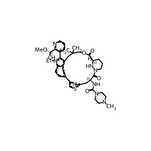 CCn1c(-c2cccnc2[C@H](C)OC)c2c3cc(ccc31)-c1csc(n1)C[C@H](NC(=O)N1CCN(C)CC1)C(=O)N1CCC[C@H](N1)C(=O)OCC(C)(C)C2